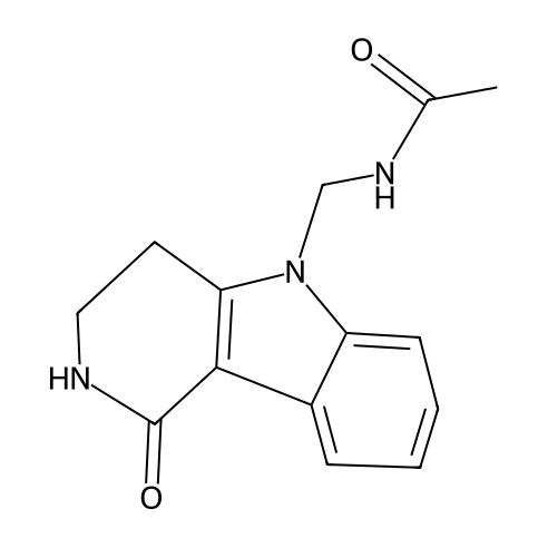 CC(=O)NCn1c2c(c3ccccc31)C(=O)NCC2